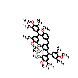 COc1ccc(Cc2ccc(OC)c(C(c3cc(C)c(OC)c(C)c3)c3cc(C)c(OC)c(C)c3)c2)cc1C(c1cc(C)c(OC)c(C)c1)c1cc(C)c(OC)c(C)c1